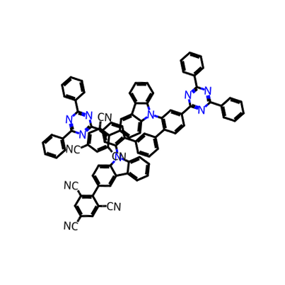 N#Cc1cc(C#N)c(-c2ccc3c(c2)c2ccccc2n3-c2cc(-c3nc(-c4ccccc4)nc(-c4ccccc4)n3)ccc2-c2cccc(-c3ccc(-c4nc(-c5ccccc5)nc(-c5ccccc5)n4)cc3-n3c4ccccc4c4cc(-c5c(C#N)cc(C#N)cc5C#N)ccc43)c2)c(C#N)c1